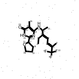 CC/C(=C\C=C(/C)C(F)(F)F)C(C)Nc1nc(C2CCCO2)[nH]c(=O)c1C